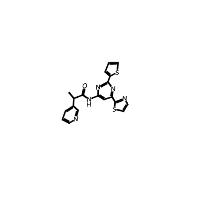 CC(C(=O)Nc1cc(-c2nccs2)nc(-c2cccs2)n1)c1cccnc1